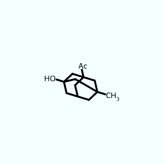 CC(=O)C12CC3CC(C)(CC(O)(C3)C1)C2